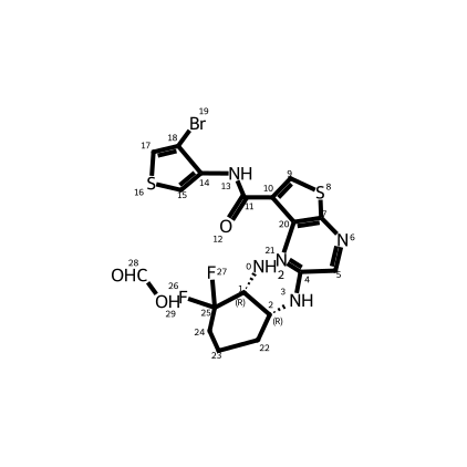 N[C@@H]1[C@H](Nc2cnc3scc(C(=O)Nc4cscc4Br)c3n2)CCCC1(F)F.O=CO